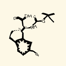 CC(C)(C)OC(=O)N[C@H](C(=O)O)[C@H]1CCc2ccc(Br)cc21